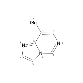 CC(C)(C)c1cncn2ccnc12